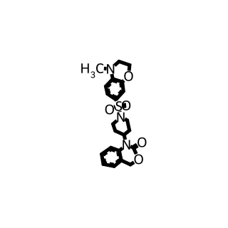 CN1CCOc2cc(S(=O)(=O)N3CCC(N4C(=O)OCc5ccccc54)CC3)ccc21